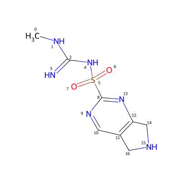 CNC(=N)NS(=O)(=O)c1ncc2c(n1)CNC2